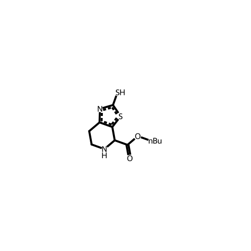 CCCCOC(=O)C1NCCc2nc(S)sc21